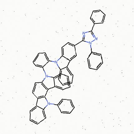 c1ccc(-c2nc(-c3ccc4c(c3)c3ccccc3n4-c3ccccc3-n3c4ccccc4c4c3ccc3c5ccccc5n(-c5ccccc5)c34)n(-c3ccccc3)n2)cc1